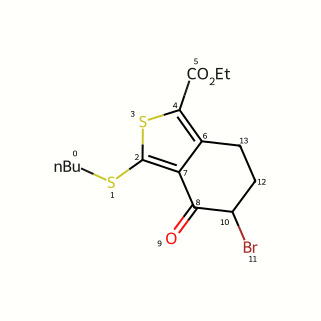 CCCCSc1sc(C(=O)OCC)c2c1C(=O)C(Br)CC2